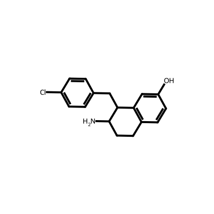 NC1CCc2ccc(O)cc2C1Cc1ccc(Cl)cc1